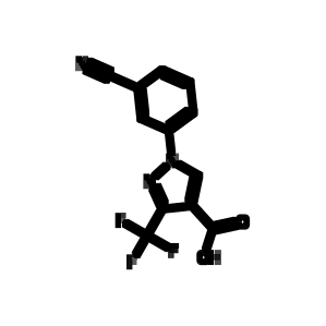 N#Cc1cccc(-n2cc(C(=O)O)c(C(F)(F)F)n2)c1